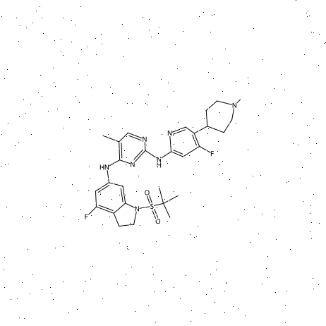 Cc1cnc(Nc2cc(F)c(C3CCN(C)CC3)cn2)nc1Nc1cc(F)c2c(c1)N(S(=O)(=O)C(C)(C)C)CC2